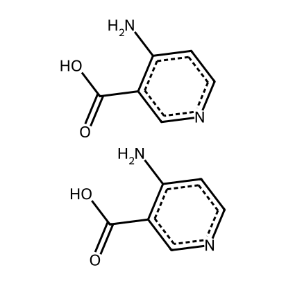 Nc1ccncc1C(=O)O.Nc1ccncc1C(=O)O